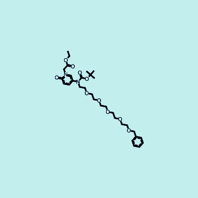 CCOC(=O)Cn1cc(N(CCOCCOCCOCCOCCOCc2ccccc2)C(=O)OC(C)(C)C)ccc1=O